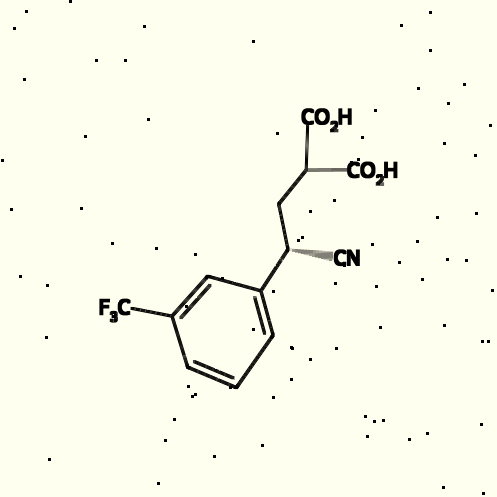 N#C[C@@H](CC(C(=O)O)C(=O)O)c1cccc(C(F)(F)F)c1